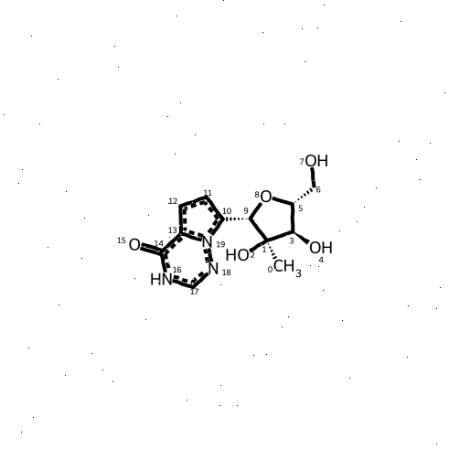 C[C@@]1(O)[C@H](O)[C@@H](CO)O[C@H]1c1ccc2c(=O)[nH]cnn12